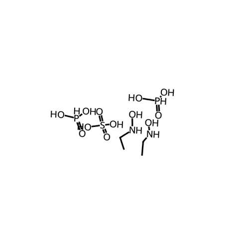 CCNO.CCNO.O=S(=O)(O)O.O=[PH](O)O.O=[PH](O)O